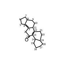 O=C1CC2=C3CCCC3CCC2C2=C1C1CCCCC1CC2